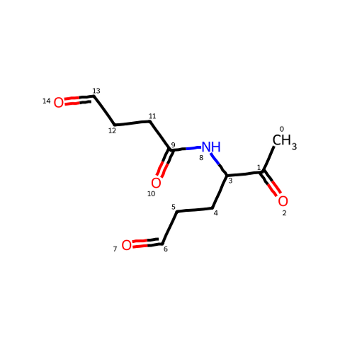 CC(=O)C(CCC=O)NC(=O)CCC=O